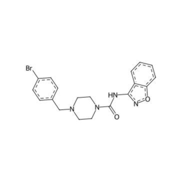 O=C(Nc1noc2ccccc12)N1CCN(Cc2ccc(Br)cc2)CC1